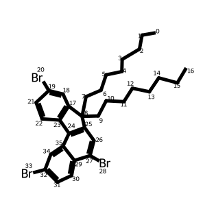 CCCCCCCCC1(CCCCCCCC)c2cc(Br)ccc2-c2c1cc(Br)c1ccc(Br)cc21